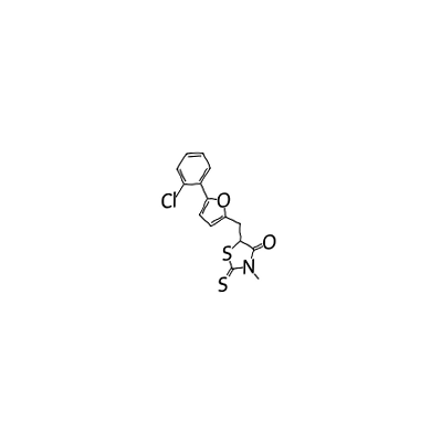 CN1C(=O)C(Cc2ccc(-c3ccccc3Cl)o2)SC1=S